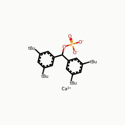 CC(C)(C)c1cc(C(OP(=O)([O-])[O-])c2cc(C(C)(C)C)cc(C(C)(C)C)c2)cc(C(C)(C)C)c1.[Ca+2]